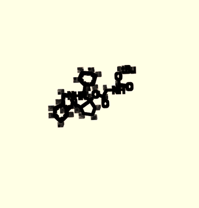 CC(C)(C)OC(=O)NCC(=O)OC1(Nc2ccccc2)CCCC1n1ncc2ccccc21